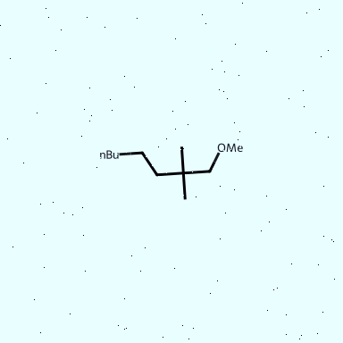 [CH2]CCCCCC(C)(C)COC